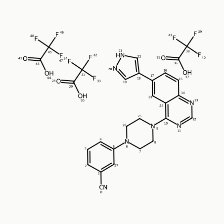 N#Cc1cccc(N2CCN(c3ncnc4ccc(-c5cn[nH]c5)cc34)CC2)c1.O=C(O)C(F)(F)F.O=C(O)C(F)(F)F.O=C(O)C(F)(F)F